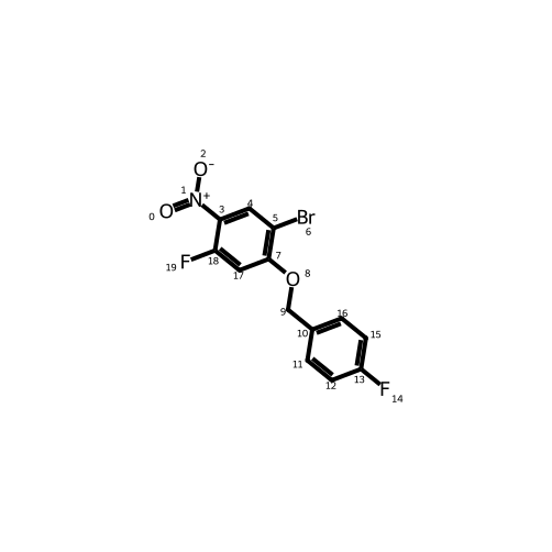 O=[N+]([O-])c1cc(Br)c(OCc2ccc(F)cc2)cc1F